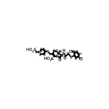 O=C(O)C[n+]1ccc(SCC2=C(C(=O)O)N3C(=O)[C@H](NC(=O)CSc4cc(Cl)ccc4Cl)[C@H]3SC2)cc1